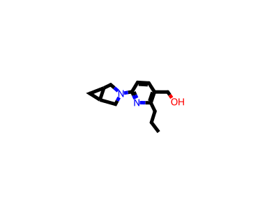 CCCc1nc(N2CC3CC3C2)ccc1CO